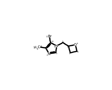 Cc1ncn(CC2CCO2)c1Br